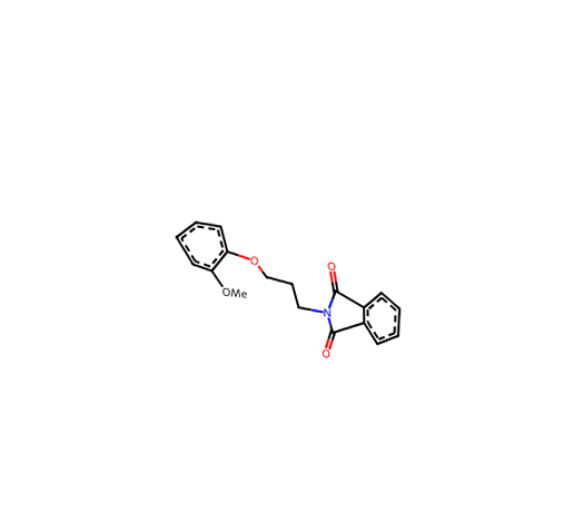 COc1ccccc1OCCCN1C(=O)c2ccccc2C1=O